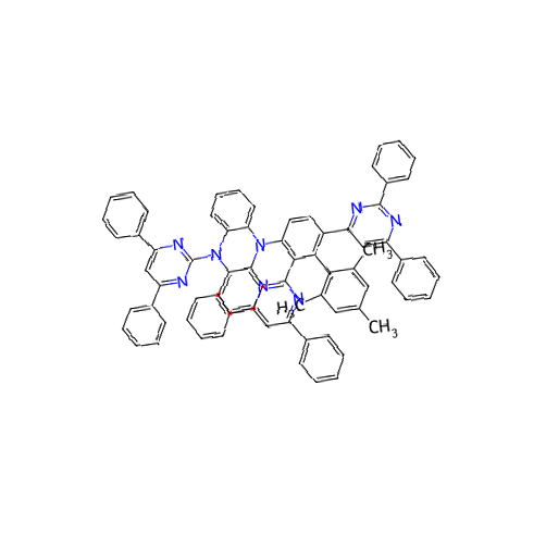 Cc1cc(C)c(-c2c(-c3cc(-c4ccccc4)nc(-c4ccccc4)n3)ccc(N3c4ccccc4N(c4nc(-c5ccccc5)cc(-c5ccccc5)n4)c4ccccc43)c2-c2nc(-c3ccccc3)cc(-c3ccccc3)n2)c(C)c1